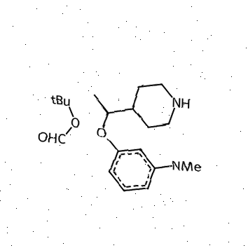 CC(C)(C)OC=O.CNc1cccc(OC(C)C2CCNCC2)c1